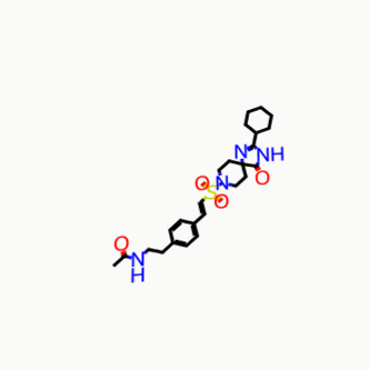 CC(=O)NCCc1ccc(/C=C/S(=O)(=O)N2CCC3(CC2)N=C(C2CCCCC2)NC3=O)cc1